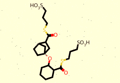 O=C(SCCCS(=O)(=O)O)C1C[C@@]2(OC3CCCCC3C(=O)SCCCS(=O)(=O)O)CCC1C2